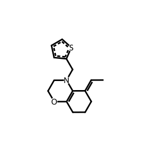 CC=C1CCCC2=C1N(Cc1cccs1)CCO2